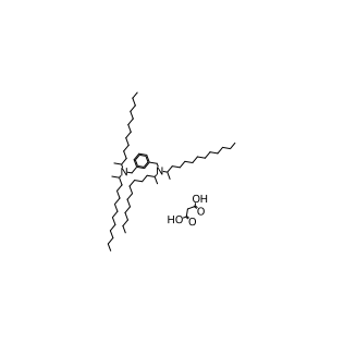 CCCCCCCCCCCC(C)N(Cc1cccc(CN(C(C)CCCCCCCCCCC)C(C)CCCCCCCCCCC)c1)C(C)CCCCCCCCCCC.O=C(O)CC(=O)O